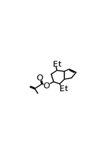 C=C(C)C(=O)OC1CC(CC)C2C=CCC2C1CC